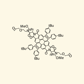 CCCC(C(=O)N(CCOCC1CO1)COC)N1C(=O)c2cc(Oc3ccc(C(C)(C)C)cc3)c3c4c(Oc5ccc(C(C)(C)C)cc5)cc5c6c(cc(Oc7ccc(C(C)(C)C)cc7)c(c7c(Oc8ccc(C(C)(C)C)cc8)cc(c2c37)C1=O)c64)C(=O)N(C(CCC)C(=O)N(CCOCC1CO1)COC)C5=O